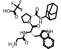 NCC(=O)N[C@@H](Cc1c[nH]c2ccccc12)C(=O)N1CCC[C@@H]1C(=O)NC1C2CC3CC(C2)CC1C3.O=C(O)C(F)(F)F